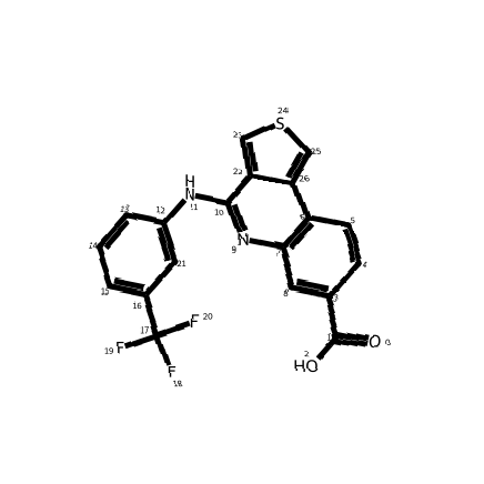 O=C(O)c1ccc2c(c1)nc(Nc1cccc(C(F)(F)F)c1)c1cscc12